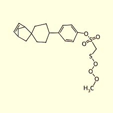 COOOSCS(=O)(=O)Oc1ccc(C2CCC3(CC2)CC2C=CC3C2)cc1